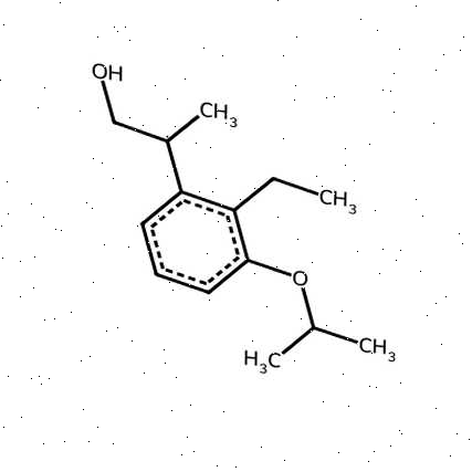 CCc1c(OC(C)C)cccc1[C](C)CO